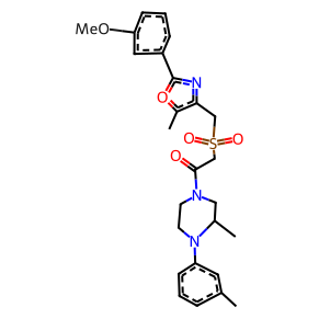 COc1cccc(-c2nc(CS(=O)(=O)CC(=O)N3CCN(c4cccc(C)c4)C(C)C3)c(C)o2)c1